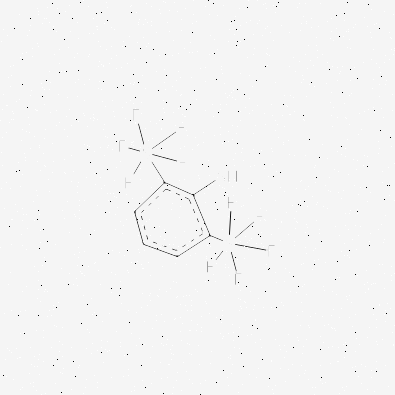 FS(F)(F)(F)(F)c1cccc(S(F)(F)(F)(F)F)c1S